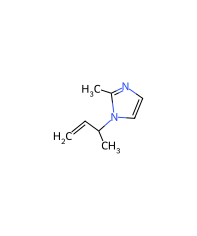 C=CC(C)n1ccnc1C